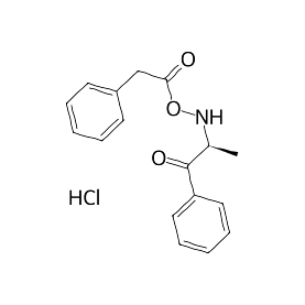 C[C@H](NOC(=O)Cc1ccccc1)C(=O)c1ccccc1.Cl